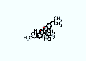 CC1=Cc2cc(CC(C)C)ccc2[CH]1[Zr]([CH3])([CH3])(=[SiH2])[CH]1C(C)=Cc2cc(CC(C)C)ccc21.Cl.Cl